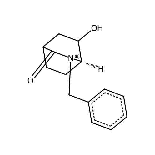 O=C1C2CC[C@H](C(O)C2)N1Cc1ccccc1